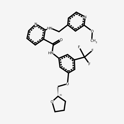 COc1cc(CNc2ncccc2C(=O)Nc2cc(OC[C@@H]3CCCO3)cc(C(F)(F)F)c2)ccn1